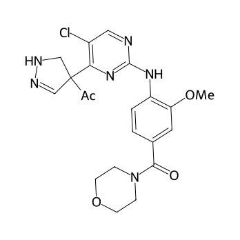 COc1cc(C(=O)N2CCOCC2)ccc1Nc1ncc(Cl)c(C2(C(C)=O)C=NNC2)n1